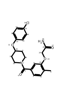 Cc1ccc(C(=O)N2CCC(Oc3ccc(Cl)cc3)CC2)cc1OCC(N)=O